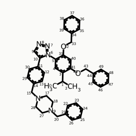 CC(C)c1cc(-n2nncc2-c2ccc(CN3CCN(Cc4ccccc4)CC3)cc2)c(OCc2ccccc2)cc1OCc1ccccc1